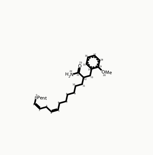 CCCCC/C=C\C/C=C\CCCCCCC(Cc1ccccc1OC)C(N)=O